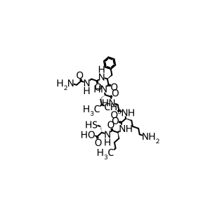 CCCC[C@H](NC(=O)[C@H](CCCCN)NC(=O)CNC(=O)[C@H](CC(C)C)NC(=O)[C@H](Cc1ccccc1)NC(=O)CNC(=O)CN)C(=O)N[C@@H](CS)C(=O)O